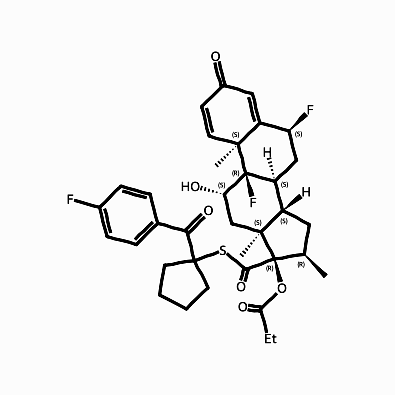 CCC(=O)O[C@]1(C(=O)SC2(C(=O)c3ccc(F)cc3)CCCC2)[C@H](C)C[C@H]2[C@@H]3C[C@H](F)C4=CC(=O)C=C[C@]4(C)[C@@]3(F)[C@@H](O)C[C@@]21C